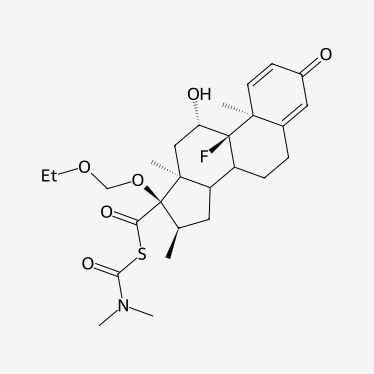 CCOCO[C@]1(C(=O)SC(=O)N(C)C)[C@H](C)CC2C3CCC4=CC(=O)C=C[C@]4(C)[C@@]3(F)[C@@H](O)C[C@@]21C